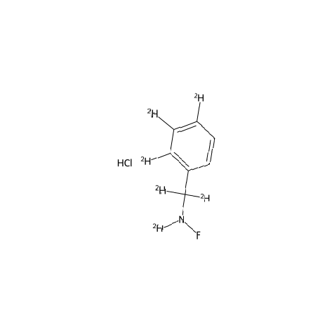 Cl.[2H]c1ccc(C([2H])([2H])N([2H])F)c([2H])c1[2H]